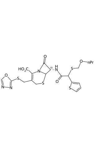 CCCOCSC(C(=O)N[C@H]1C(=O)N2C(C(=O)O)=C(CSc3nnco3)CSC12)c1cccs1